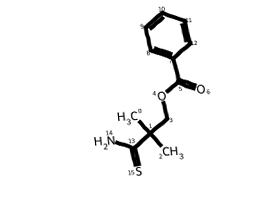 CC(C)(COC(=O)c1ccccc1)C(N)=S